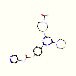 CC(C)C(=O)N1CCCN(c2nc(-c3ccc(NC(=O)Nc4ccncc4)cc3)nc(N3CCOCC3)n2)CC1